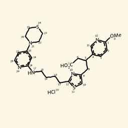 COc1ccc(C(CC(=O)O)Cc2csc(CCCCNc3cc(N4CCSCC4)ccn3)n2)cn1.Cl